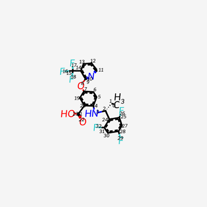 CC[C@@H](Nc1ccc(Oc2ncccc2C(F)(F)F)cc1C(=O)O)c1c(F)cc(F)cc1F